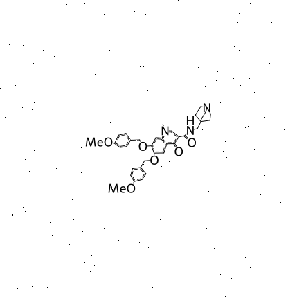 COc1ccc(COc2cc3c(=O)c(C(=O)NCC45CCN(CC4)CC5)cn(C)c3cc2OCc2ccc(OC)cc2)cc1